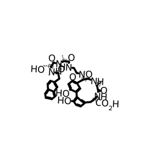 C[C@@H]1NC(=O)[C@@H](N(C)C(=O)CNC(=O)[C@@H](C)NC(=O)[C@@H](CO)N(C)C(=O)Cc2ccc3ccccc3c2)c2ccc(O)c(c2)-c2cc(ccc2O)C[C@H](C(=O)O)NC1=O